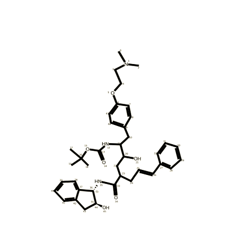 CN(C)CCOc1ccc(CC(NC(=O)OC(C)(C)C)C(O)CC(CC=Cc2ccccc2)C(=O)N[C@H]2c3ccccc3C[C@@H]2O)cc1